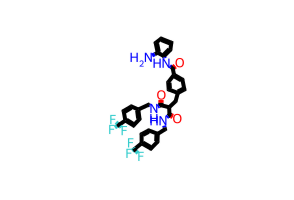 Nc1ccccc1NC(=O)c1ccc(CC(C(=O)NCc2ccc(C(F)(F)F)cc2)C(=O)NCc2ccc(C(F)(F)F)cc2)cc1